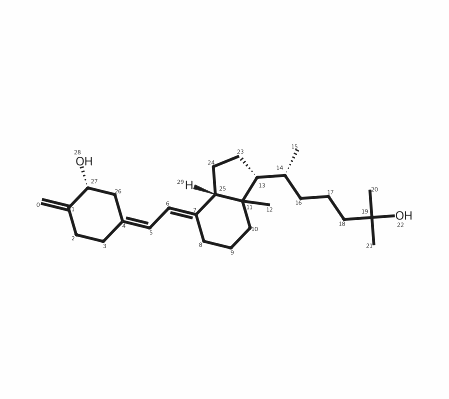 C=C1CC/C(=C/C=C2\CCCC3(C)[C@@H]([C@H](C)CCCC(C)(C)O)CC[C@@H]23)C[C@H]1O